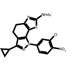 CC(=O)Nc1nc2c(s1)-c1c(c(C3CC3)nn1-c1ccc([N+](=O)[O-])c(Cl)c1)CC2